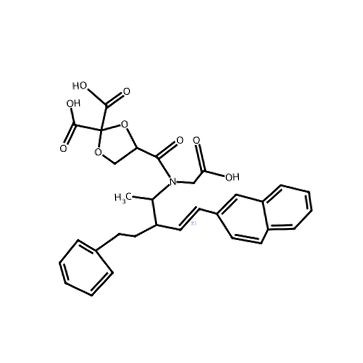 CC(C(/C=C/c1ccc2ccccc2c1)CCc1ccccc1)N(CC(=O)O)C(=O)C1COC(C(=O)O)(C(=O)O)O1